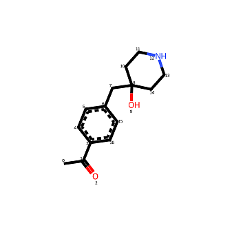 CC(=O)c1ccc(CC2(O)CCNCC2)cc1